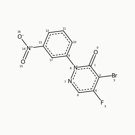 O=c1c(Br)c(F)cnn1-c1cccc([N+](=O)[O-])c1